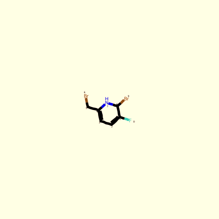 FC1=CC=C(CBr)NC1Br